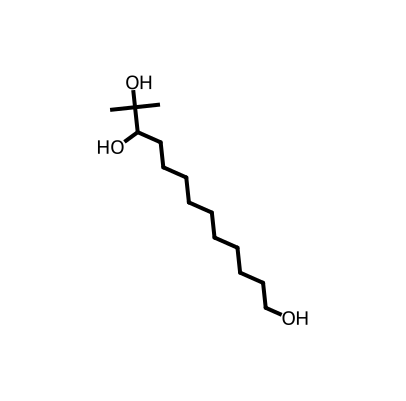 CC(C)(O)C(O)CCCCCCCCCCO